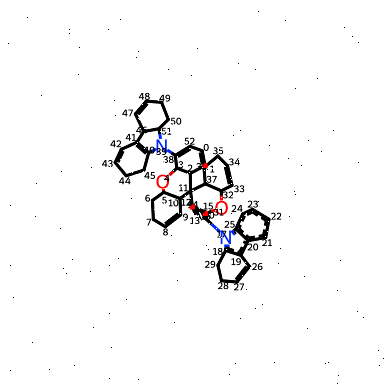 C1=CC2C(OC3CCC=CC3C23C2=CCCC(n4c5c(c6ccccc64)C=CCC5)=C2OC2C=CCCC23)C(N2C3=C(C=CCC3)C3C=CCCC32)=C1